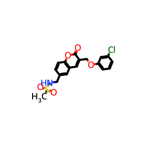 CS(=O)(=O)NCc1ccc2oc(=O)c(COc3cccc(Cl)c3)cc2c1